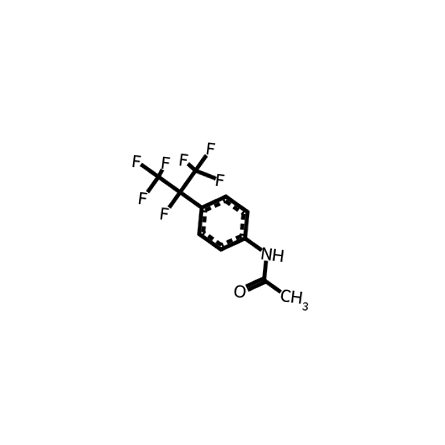 CC(=O)Nc1ccc(C(F)(C(F)(F)F)C(F)(F)F)cc1